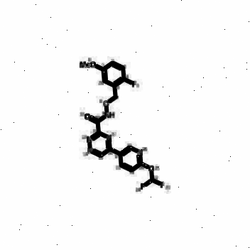 COc1ccc(F)c(CONC(=O)c2nncc(-c3ccc(OC(F)F)nc3)n2)c1